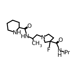 CC(C)NC(=O)C1(F)CCN(CC(C)NC(=O)C2CCCCN2)C1